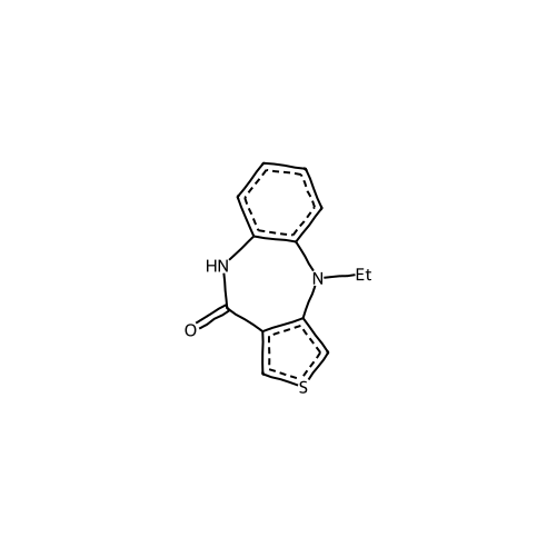 CCN1c2ccccc2NC(=O)c2cscc21